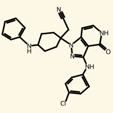 N#CCC1(n2nc(Nc3ccc(Cl)cc3)c3c(=O)[nH]ccc32)CCC(Nc2ccccc2)CC1